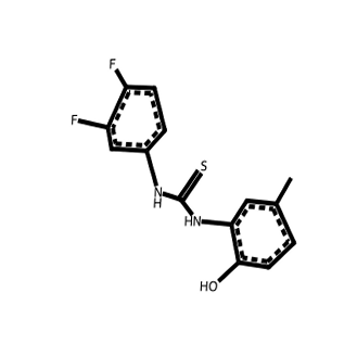 Cc1ccc(O)c(NC(=S)Nc2ccc(F)c(F)c2)c1